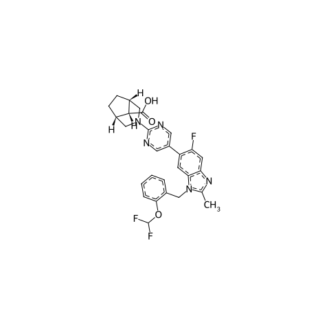 Cc1nc2cc(F)c(-c3cnc(N4C[C@H]5CC[C@@H](C4)[C@H]5C(=O)O)nc3)cc2n1Cc1ccccc1OC(F)F